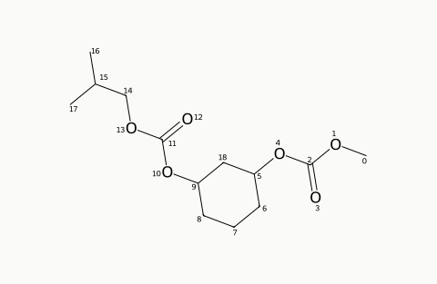 COC(=O)OC1CCCC(OC(=O)OCC(C)C)C1